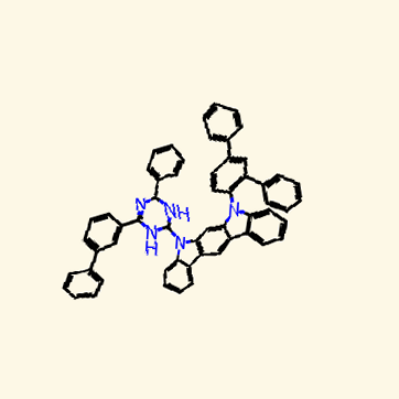 c1ccc(-c2cccc(C3=NC(c4ccccc4)NC(n4c5ccccc5c5cc6c7ccccc7n(-c7ccc(-c8ccccc8)cc7-c7ccccc7)c6cc54)N3)c2)cc1